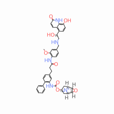 COc1cc(CNC[C@H](O)c2ccc(O)c3[nH]c(=O)ccc23)ccc1NC(=O)CCc1ccc(-c2ccccc2)c(NC(=O)O[C@@H]2C[C@@H]3[C@H]4O[C@H]4[C@H](C2)[N+]3(C)C)c1